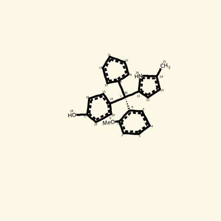 COc1ccccc1[C@@](c1ccccc1)(c1ccc(O)cc1)c1ccc(C)[nH]1